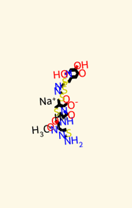 CO/N=C(\C(=O)N[C@@H]1C(=O)N2C(C(=O)[O-])=C(CSc3nnc(SCc4cc(=O)c(O)cn4O)s3)CS[C@@H]12)c1csc(N)n1.[Na+]